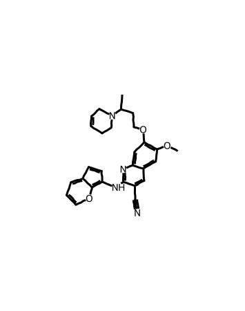 COc1cc2cc(C#N)c(Nc3ccc4cccoc3-4)nc2cc1OCCC(C)N1CC=CCC1